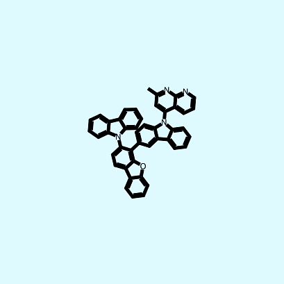 Cc1cc(-n2c3ccccc3c3cc(-c4c(-n5c6ccccc6c6ccccc65)ccc5c4oc4ccccc45)ccc32)c2cccnc2n1